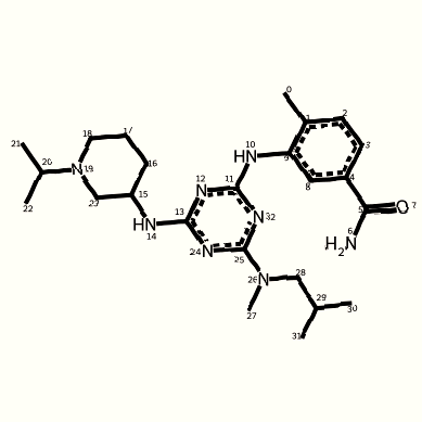 Cc1ccc(C(N)=O)cc1Nc1nc(NC2CCCN(C(C)C)C2)nc(N(C)CC(C)C)n1